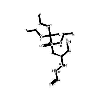 CCOC(C)(OCC)P(=O)(C[C@@H](CO)NBC=O)OCC